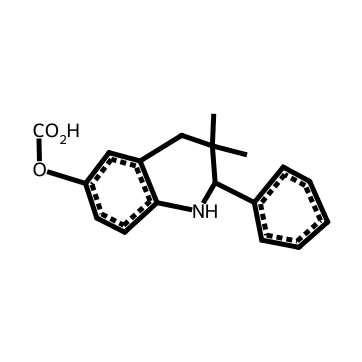 CC1(C)Cc2cc(OC(=O)O)ccc2NC1c1ccccc1